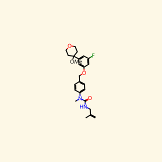 C=C(C)CNC(=O)N(C)c1ccc(COc2cc(F)cc(C3(OC)CCOCC3)c2)cc1